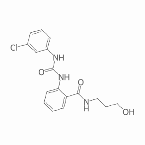 O=C(Nc1cccc(Cl)c1)Nc1ccccc1C(=O)NCCCO